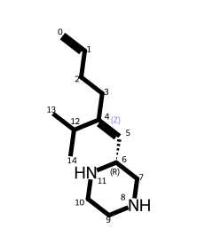 C=CCC/C(=C/[C@@H]1CNCCN1)C(C)C